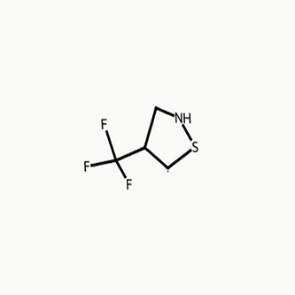 FC(F)(F)C1[CH]SNC1